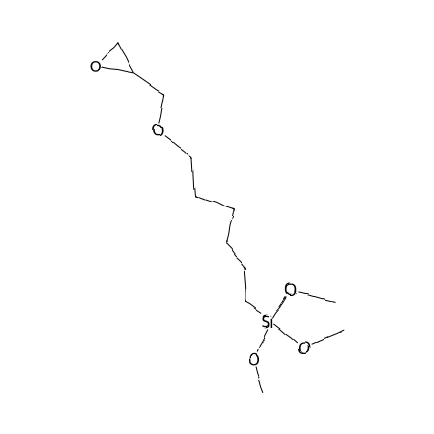 CO[Si](CCCCCCOCC1CO1)(OC)OC